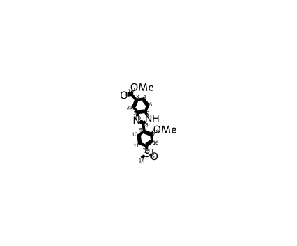 COC(=O)c1ccc2[nH]c(-c3ccc([S+](C)[O-])cc3OC)nc2c1